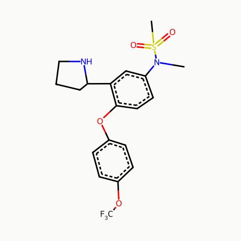 CN(c1ccc(Oc2ccc(OC(F)(F)F)cc2)c(C2CCCN2)c1)S(C)(=O)=O